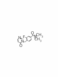 CN(C)C(=O)c1ccc(Cn2cnccc2=O)c(F)c1